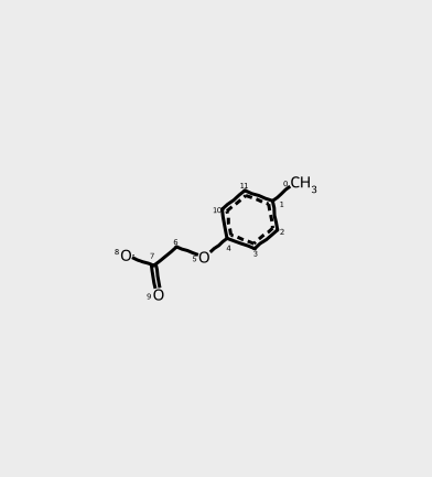 Cc1ccc(OCC([O])=O)cc1